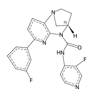 O=C(Nc1ccncc1F)N1c2nc(-c3cccc(F)c3)ccc2N2CC[C@H]1C2